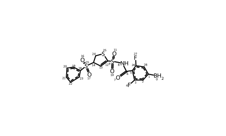 Bc1cc(F)c(C(=O)NS(=O)(=O)C2=CC(S(=O)(=O)c3ccccc3)CS2)c(F)c1